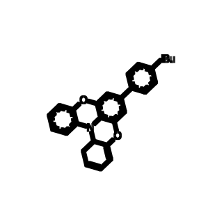 CCC(C)c1ccc(-c2cc3c4c(c2)Oc2ccccc2N4C2CC=CC=C2O3)cc1